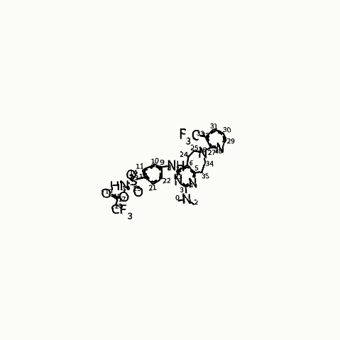 CN(C)c1nc2c(c(Nc3ccc(S(=O)(=O)NOC(=O)C(F)(F)F)cc3)n1)CCN(c1ncccc1C(F)(F)F)CC2